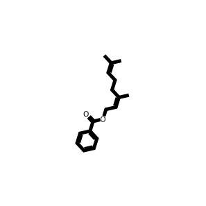 CC(C)=CCCC(C)=CCOC(=O)c1ccccc1